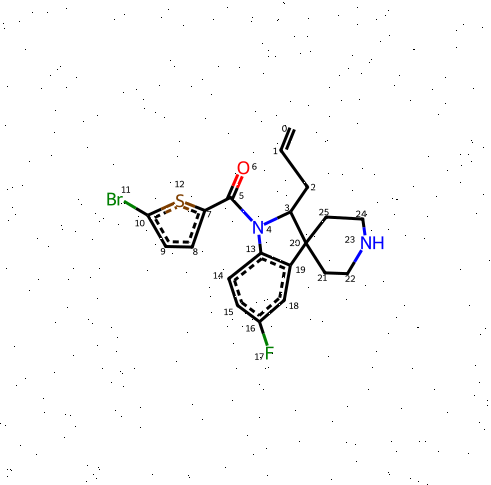 C=CCC1N(C(=O)c2ccc(Br)s2)c2ccc(F)cc2C12CCNCC2